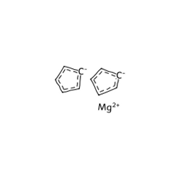 [Mg+2].c1cc[cH-]c1.c1cc[cH-]c1